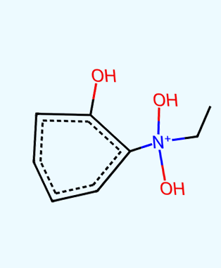 CC[N+](O)(O)c1ccccc1O